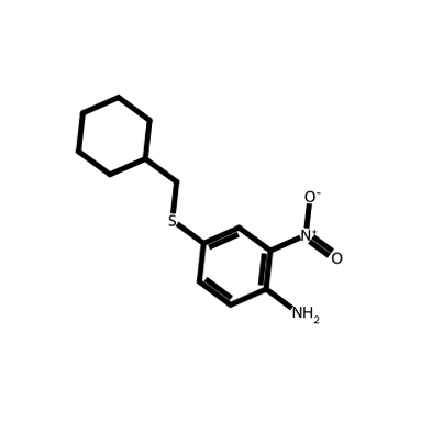 Nc1ccc(SCC2CCCCC2)cc1[N+](=O)[O-]